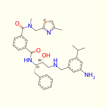 Cc1csc(CN(C)C(=O)c2cccc(C(=O)N[C@@H](Cc3ccccc3)[C@H](O)CNCc3cc(N)cc(C(C)C)c3)c2)n1